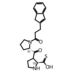 O=C(C1CCN[C@@H]1C(O)=S)[C@@H]1CCCN1C(=O)CCC1=Cc2ccccc2C1